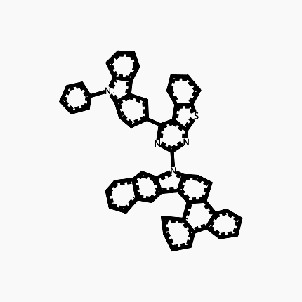 c1ccc(-n2c3ccccc3c3cc(-c4nc(-n5c6cc7ccccc7cc6c6c7c8ccccc8c8ccccc8c7ccc65)nc5sc6ccccc6c45)ccc32)cc1